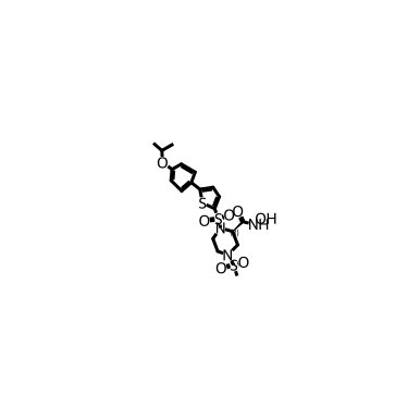 CC(C)Oc1ccc(-c2ccc(S(=O)(=O)N3CCN(S(C)(=O)=O)C[C@@H]3C(=O)NO)s2)cc1